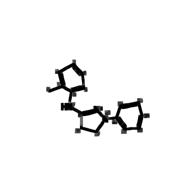 Cc1ccccc1NC1=NN(c2ccccc2)CC1